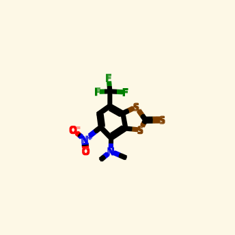 CN(C)c1c([N+](=O)[O-])cc(C(F)(F)F)c2sc(=S)sc12